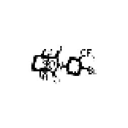 CC12C=CC(C)([C@H]3C(=O)N(c4ccc(Br)c(C(F)(F)F)c4)C(=O)[C@H]31)[S+]2[O-]